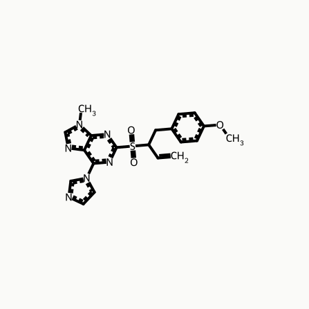 C=CC(Cc1ccc(OC)cc1)S(=O)(=O)c1nc(-n2ccnc2)c2ncn(C)c2n1